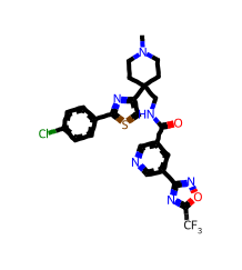 CN1CCC(CNC(=O)c2cncc(-c3noc(C(F)(F)F)n3)c2)(c2csc(-c3ccc(Cl)cc3)n2)CC1